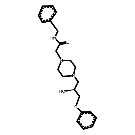 O=C(CN1CCN(C[C@H](O)COc2ccccc2)CC1)NCc1ccccc1